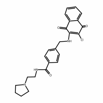 O=C(NCCN1CCCC1)c1ccc(CNC2=C(Cl)C(=O)c3ccccc3C2=O)cc1